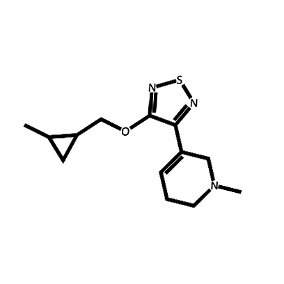 CC1CC1COc1nsnc1C1=CCCN(C)C1